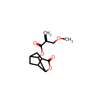 C=C(COC)C(=O)OC1C2CC3C(=O)OC1C3C2